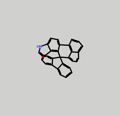 c1ccc2c(c1)-c1ccccc1C21c2cccc3cccc(c23)-c2ccc3[nH]c4ccccc4c3c21